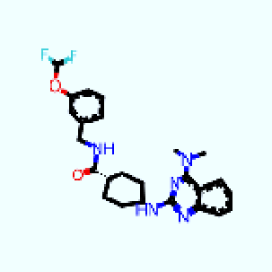 CN(C)c1nc(N[C@H]2CC[C@@H](C(=O)NCc3cccc(OC(F)F)c3)CC2)nc2ccccc12